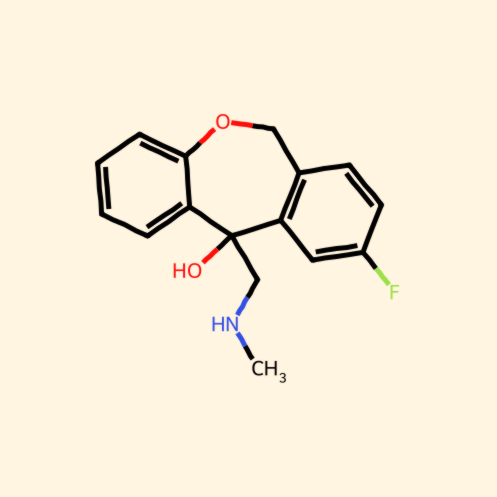 CNCC1(O)c2cc(F)ccc2COc2ccccc21